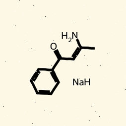 CC(N)=CC(=O)c1ccccc1.[NaH]